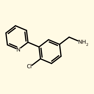 NCc1ccc(Cl)c(-c2ccccn2)c1